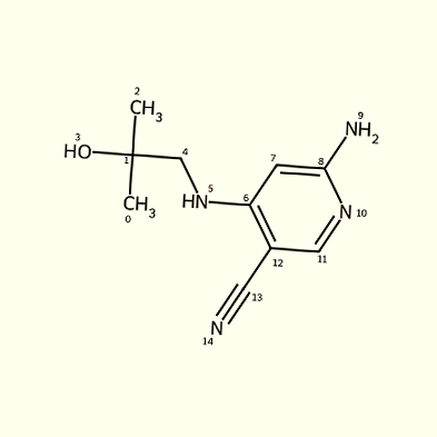 CC(C)(O)CNc1cc(N)ncc1C#N